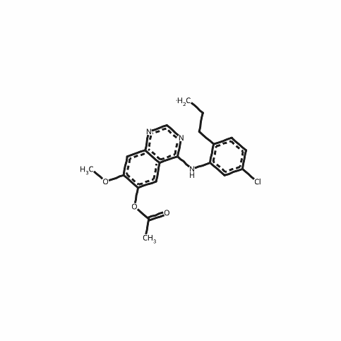 [CH2]CCc1ccc(Cl)cc1Nc1ncnc2cc(OC)c(OC(C)=O)cc12